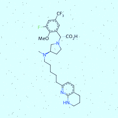 COc1c(F)cc(C(F)(F)F)cc1[C@H](C(=O)O)N1CC[C@@H](N(C)CCCCCc2ccc3c(n2)NCCC3)C1